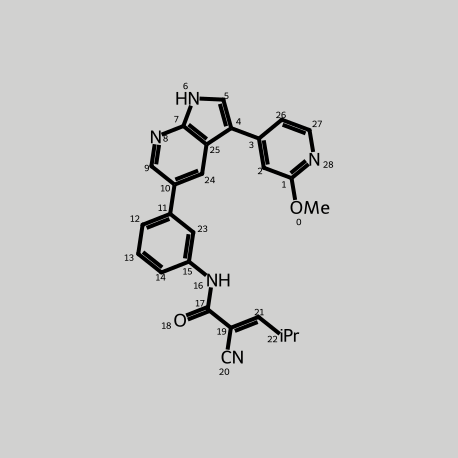 COc1cc(-c2c[nH]c3ncc(-c4cccc(NC(=O)C(C#N)=CC(C)C)c4)cc23)ccn1